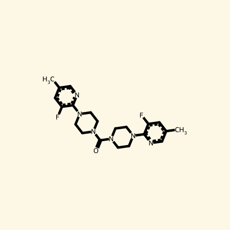 Cc1cnc(N2CCN(C(=O)N3CCN(c4ncc(C)cc4F)CC3)CC2)c(F)c1